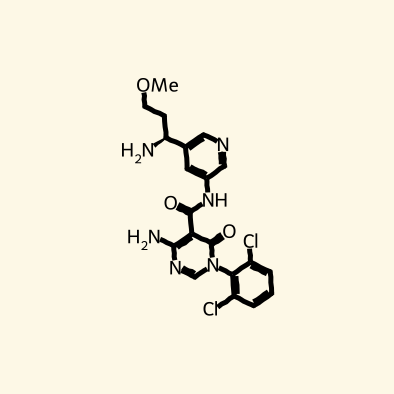 COCC[C@H](N)c1cncc(NC(=O)c2c(N)ncn(-c3c(Cl)cccc3Cl)c2=O)c1